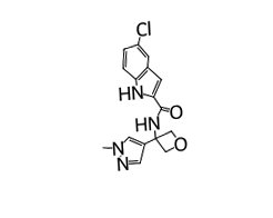 Cn1cc(C2(NC(=O)c3cc4cc(Cl)ccc4[nH]3)COC2)cn1